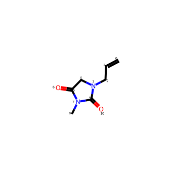 C=CCN1CC(=O)N(C)C1=O